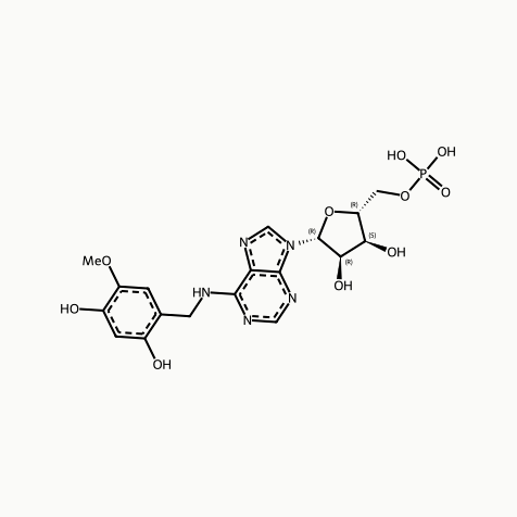 COc1cc(CNc2ncnc3c2ncn3[C@@H]2O[C@H](COP(=O)(O)O)[C@@H](O)[C@H]2O)c(O)cc1O